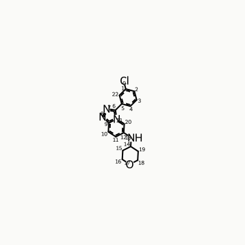 Clc1cccc(-c2nnc3ccc(NC4CCOCC4)cn23)c1